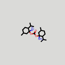 CC1CCC(C(C)C)C(N)(OC(=O)OC2(N)CC(C)CCC2C(C)C)C1